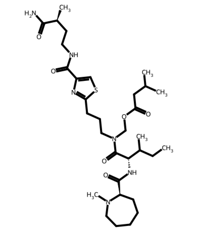 CCC(C)[C@H](NC(=O)[C@H]1CCCCCN1C)C(=O)N(CCCc1nc(C(=O)NCC[C@H](C)C(N)=O)cs1)COC(=O)CC(C)C